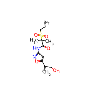 C=C(CO)c1cc(NC(=O)C(C)(C)S(=O)(=O)CCC(C)C)no1